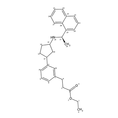 CCOC(=O)CCc1cccc(C2CCC(N[C@H](C)c3cccc4ccccc34)C2)c1